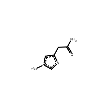 CC(C)(C)n1cnc(CC(N)=O)c1